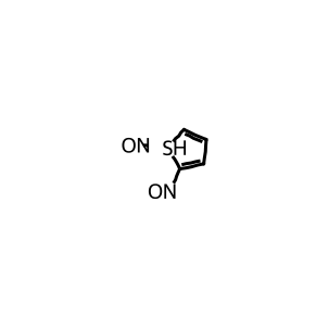 O=NC1=CC=C[SH]1N=O